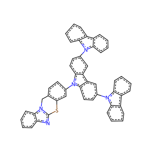 c1ccc2c(c1)nc1n2Cc2ccc(-n3c4ccc(-n5c6ccccc6c6ccccc65)cc4c4cc(-n5c6ccccc6c6ccccc65)ccc43)cc2S1